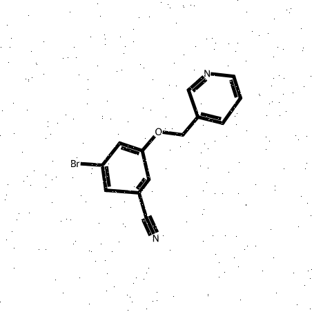 N#Cc1cc(Br)cc(OCc2cccnc2)c1